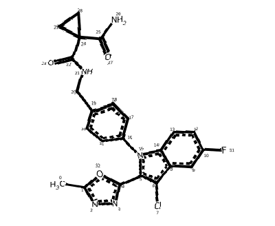 Cc1nnc(-c2c(Cl)c3cc(F)ccc3n2-c2ccc(CNC(=O)C3(C(N)=O)CC3)cc2)o1